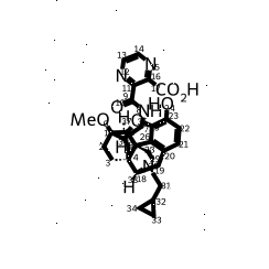 COC12CC[C@@]3(C[C@@H]1CNC(=O)c1nccnc1C(=O)O)[C@H]1Cc4ccc(O)c5c4[C@@]3(CCN1CC1CC1)[C@H]2O5